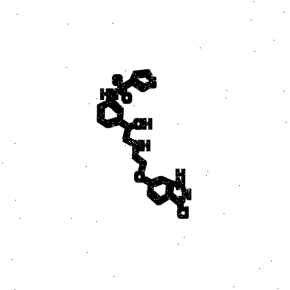 O=S(=O)(Nc1cccc(C(O)CNCCOc2ccc3c(Cl)n[nH]c3c2)c1)c1ccsc1